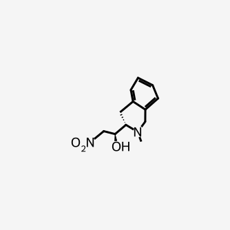 CN1Cc2ccccc2C[C@H]1[C@@H](O)C[N+](=O)[O-]